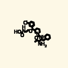 CCC(N)C(CC1CCCCC1)NC(=O)N1CCCC(C(OCCNC(=O)O)c2cccc(Cl)c2)C1